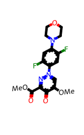 COC(=O)c1nn(-c2cc(F)c(N3CCOCC3)cc2F)cc(OC)c1=O